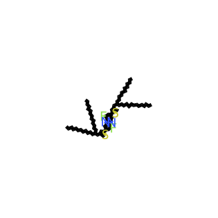 CCCCCCCCCCCCCCC(CCCCCCCCCCCC)Cc1csc(-c2cc(F)c3nc4cc(-c5cc(CC(CCCCCCCCCCCC)CCCCCCCCCCCCCC)cs5)cc(F)c4nc3c2)c1